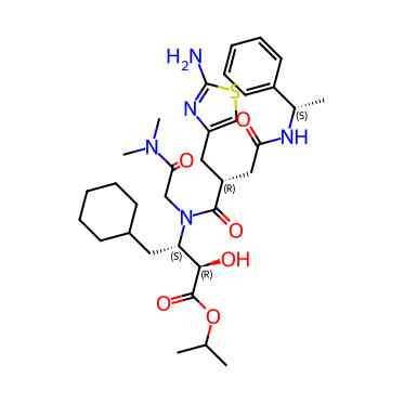 CC(C)OC(=O)[C@H](O)[C@H](CC1CCCCC1)N(CC(=O)N(C)C)C(=O)[C@@H](CC(=O)N[C@@H](C)c1ccccc1)Cc1csc(N)n1